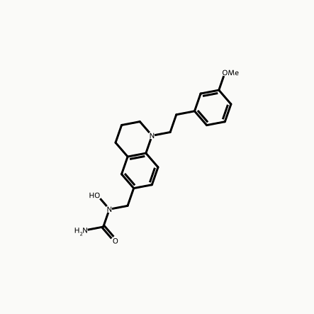 COc1cccc(CCN2CCCc3cc(CN(O)C(N)=O)ccc32)c1